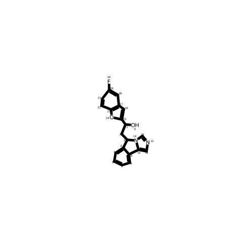 OC(CC1c2ccccc2-c2cncn21)c1cc2cc(F)ccc2o1